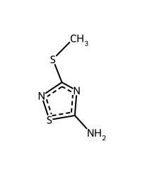 CSc1nsc(N)n1